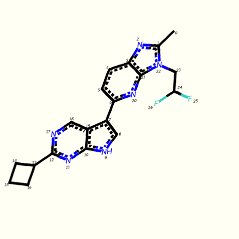 Cc1nc2ccc(-c3c[nH]c4nc(C5CCC5)ncc34)nc2n1CC(F)F